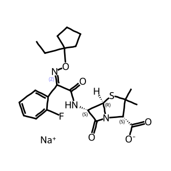 CCC1(O/N=C(\C(=O)N[C@H]2C(=O)N3[C@@H]2SC(C)(C)[C@@H]3C(=O)[O-])c2ccccc2F)CCCC1.[Na+]